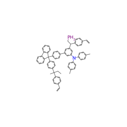 C=Cc1ccc(C(CP)c2cc(-c3ccc(C4(c5ccc(C(C)(CC)c6ccc(C=C)cc6)cc5)c5ccccc5-c5ccccc54)cc3)cc(N(c3ccc(C)cc3)c3ccc(C)cc3)c2)cc1